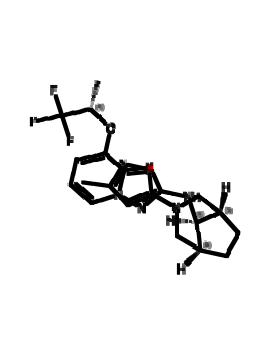 Cc1cc(N2C[C@H]3CC[C@@H](C2)[C@@H]3Nc2nc3c(O[C@@H](C)C(F)(F)F)cccn3n2)sn1